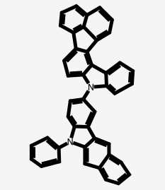 c1ccc(-n2c3ccc(-n4c5ccccc5c5c6c(ccc54)-c4cccc5cccc-6c45)cc3c3cc4ccccc4cc32)cc1